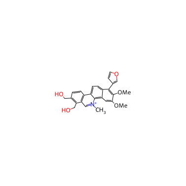 COc1cc2c(ccc3c4ccc(CO)c(CO)c4c[n+](C)c23)c(-c2ccoc2)c1OC